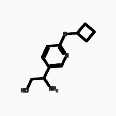 NC(CO)c1ccc(OC2CCC2)nc1